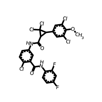 COc1c(Cl)cc(C2C(C(=O)Nc3ccc(Cl)c(C(=O)Nc4ccc(F)cc4F)c3)C2(Cl)Cl)cc1Cl